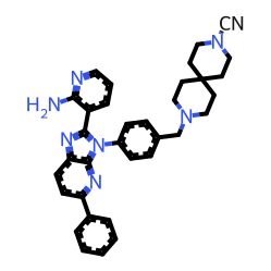 N#CN1CCC2(CC1)CCN(Cc1ccc(-n3c(-c4cccnc4N)nc4ccc(-c5ccccc5)nc43)cc1)CC2